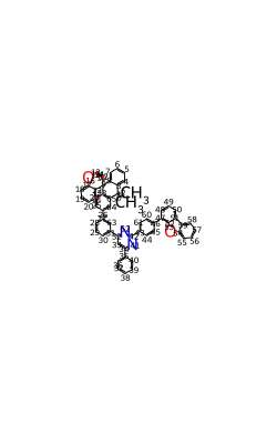 CC1(C)c2ccccc2C2(c3ccccc3Oc3ccccc32)c2ccc(-c3cccc(-c4cc(-c5ccccc5)nc(-c5ccc(-c6cccc7c6oc6ccccc67)cc5)n4)c3)cc21